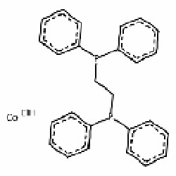 Cl.[Co].c1ccc(P(CCP(c2ccccc2)c2ccccc2)c2ccccc2)cc1